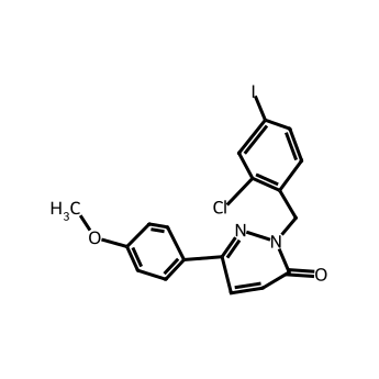 COc1ccc(-c2ccc(=O)n(Cc3ccc(I)cc3Cl)n2)cc1